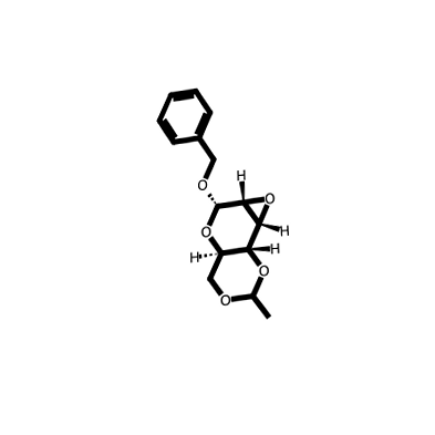 CC1OC[C@H]2O[C@H](OCc3ccccc3)[C@@H]3O[C@@H]3[C@@H]2O1